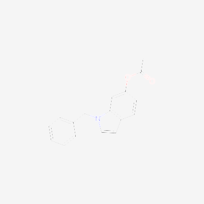 CC(=O)Oc1ccc2ccn(Cc3ccccc3)c2c1